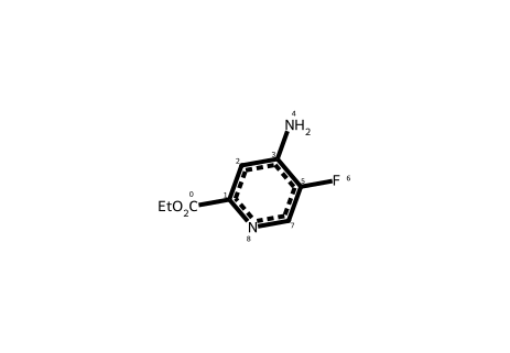 CCOC(=O)c1cc(N)c(F)cn1